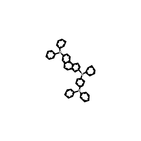 c1ccc(N(c2ccccc2)c2ccc(N(c3ccccc3)c3ccc4c(ccc5cc(N(c6ccccc6)c6ccccc6)ccc54)c3)cc2)cc1